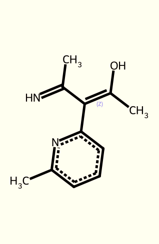 CC(=N)/C(=C(/C)O)c1cccc(C)n1